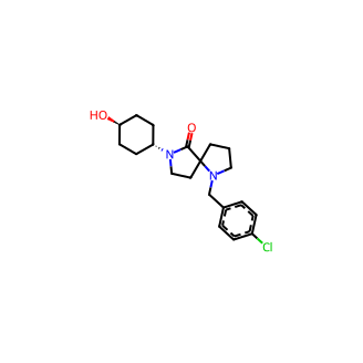 O=C1N([C@H]2CC[C@H](O)CC2)CCC12CCCN2Cc1ccc(Cl)cc1